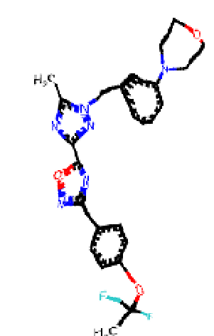 Cc1nc(-c2nc(-c3ccc(OC(C)(F)F)cc3)no2)nn1Cc1cccc(N2CCOCC2)c1